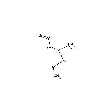 C=CCC(C)OC=O